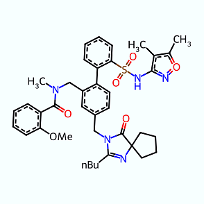 CCCCC1=NC2(CCCC2)C(=O)N1Cc1ccc(-c2ccccc2S(=O)(=O)Nc2noc(C)c2C)c(CN(C)C(=O)c2ccccc2OC)c1